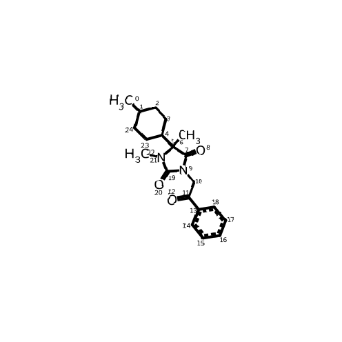 CC1CCC(C2(C)C(=O)N(CC(=O)c3ccccc3)C(=O)N2C)CC1